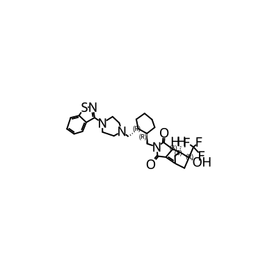 O=C1C2=C3C[C@@H]([C@@H]2C(=O)N1C[C@@H]1CCCC[C@H]1CN1CCN(c2nsc4ccccc24)CC1)[C@@](O)(C(F)(F)F)C3